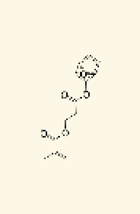 C=C(C)C(=O)OCCC(=O)Oc1cc2ccc1o2